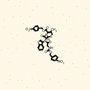 CC1=C(C(=O)OCc2ccc([N+](=O)[O-])cc2)N2C(=O)C(N(C(=O)CNC(=O)OCc3ccc([N+](=O)[O-])cc3)c3csc4ccccc34)[C@@H]2SC1